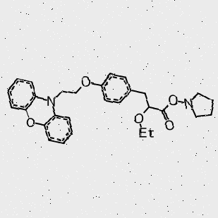 CCOC(Cc1ccc(OCCN2c3ccccc3Oc3ccccc32)cc1)C(=O)ON1CCCC1